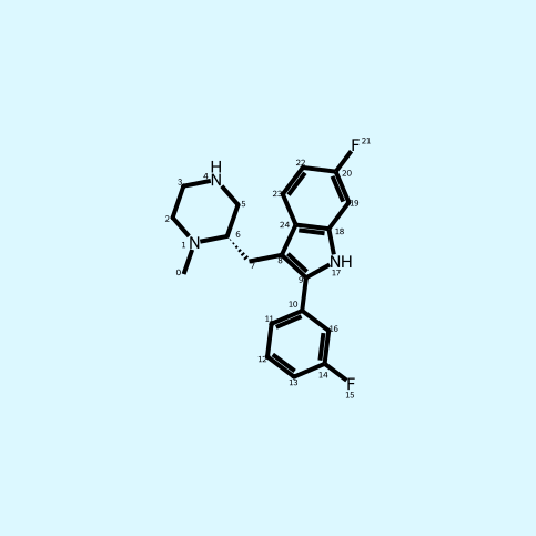 CN1CCNC[C@@H]1Cc1c(-c2cccc(F)c2)[nH]c2cc(F)ccc12